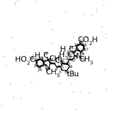 CN1C(=CC=C2CC(C(C)(C)C)CC(C=CC3=[N+](C)c4ccc(C(=O)O)cc4C3(C)C)=C2Cl)C(C)(C)c2cc(C(=O)O)ccc21